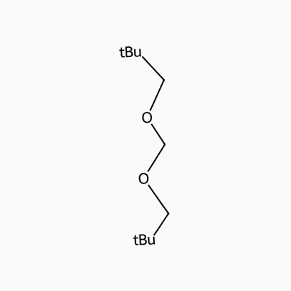 CC(C)(C)COCOCC(C)(C)C